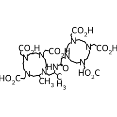 CC1CN(CC(=O)O)CCN(CC(=O)O)CCN(CC(=O)O)CCN1C[C@H](C)NC(=O)CN1CCN(CC(=O)O)CCN(CC(=O)O)CCN(CC(=O)O)CC1